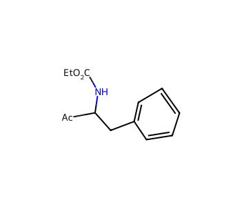 CCOC(=O)NC(Cc1ccccc1)C(C)=O